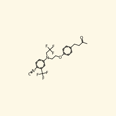 [C-]#[N+]c1ccc(N(CCOc2ccc(CCC(C)=O)cc2)CC(F)(F)F)cc1C(F)(F)F